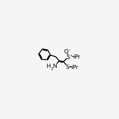 CC(C)S/C(=C(\N)Cc1ccccc1)[S+]([O-])C(C)C